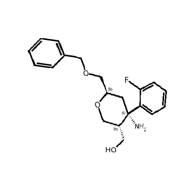 N[C@@]1(c2ccccc2F)C[C@H](COCc2ccccc2)OC[C@H]1CO